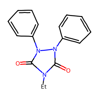 CCn1c(=O)n(-c2ccccc2)n(-c2ccccc2)c1=O